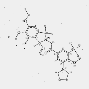 C=CC1(C)c2c(cc(OCC)c(OCC)c2F)C(C)(C)N1CC(=O)c1cc(N2CCCC2)c(OC)c(C(C)(C)C)c1